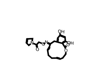 O=C1OCC/C=C/CC/C=C/C(=N\OCC(=O)N2CC=CC2)Cc2cc(O)cc(O)c21